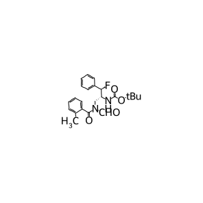 Cc1ccccc1C(=O)N(C=O)C[C@@H](NC(=O)OC(C)(C)C)[C@H](F)c1ccccc1